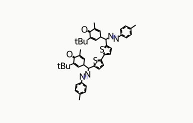 CC1=CC(C(/N=N/c2ccc(C)cc2)c2ccc(-c3ccc(C(/N=N/c4ccc(C)cc4)C4C=C(C)C(=O)C(C(C)(C)C)=C4)s3)s2)C=C(C(C)(C)C)C1=O